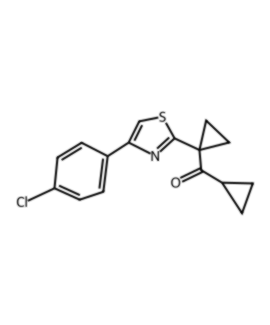 O=C(C1CC1)C1(c2nc(-c3ccc(Cl)cc3)cs2)CC1